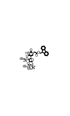 CC(C)(C)[Si](C)(C)OC[C@H]1O[C@@H](c2cn(CC(=O)OCC3c4ccccc4-c4ccccc43)c(=O)[nH]c2=O)C(O[Si](C)(C)C(C)(C)C)C1O[Si](C)(C)C(C)(C)C